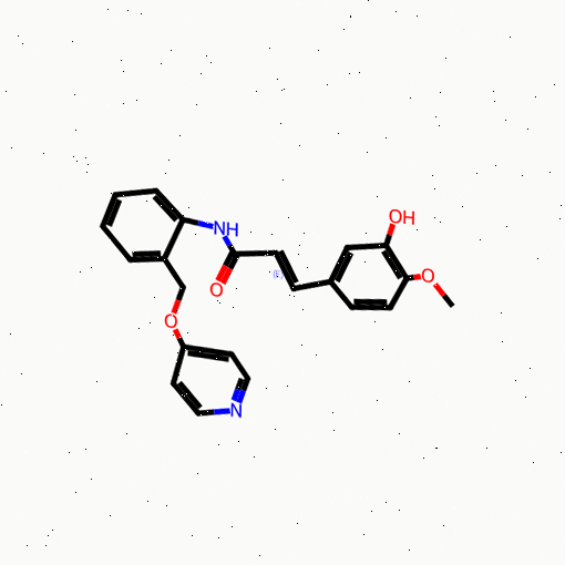 COc1ccc(/C=C/C(=O)Nc2ccccc2COc2ccncc2)cc1O